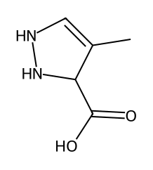 CC1=CNNC1C(=O)O